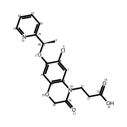 C[C@@H](Oc1cc2c(cc1Cl)N(CCC(=O)O)C(=O)CO2)c1ccccn1